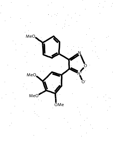 COc1ccc(-c2no[n+]([O-])c2-c2cc(OC)c(OC)c(OC)c2)cc1